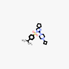 CC(C)c1ccc(S(=O)(=O)N2CC3(CCCC3)N=C2N2CCN(C3CCC3)CC2)cc1